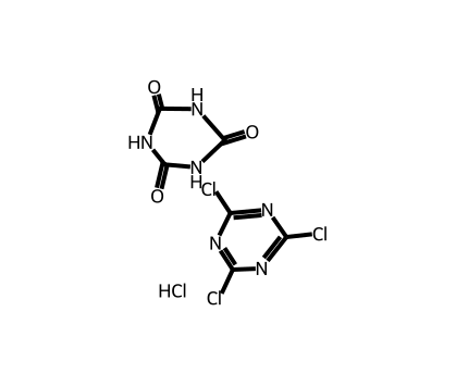 Cl.Clc1nc(Cl)nc(Cl)n1.O=c1[nH]c(=O)[nH]c(=O)[nH]1